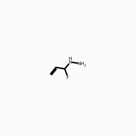 C=CC(F)NN